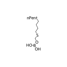 CCCCCCCCCSCOB(O)O